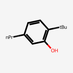 CCCc1ccc(C(C)(C)C)c(O)c1